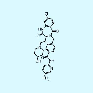 Cc1ccc(NC(=O)c2ccc(CN3C(=O)c4ccc(Cl)cc4NC(=O)C3CCN3CCC(O)CC3)cc2)nc1